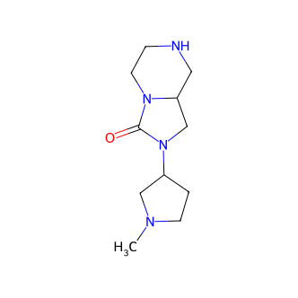 CN1CCC(N2CC3CNCCN3C2=O)C1